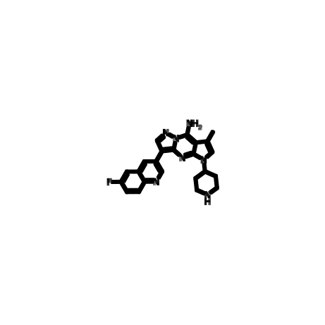 Cc1cn(C2CCNCC2)c2nc3c(-c4cnc5ccc(F)cc5c4)cnn3c(N)c12